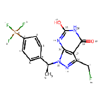 C[C@@H](c1ccc(S(F)(F)F)cc1)n1nc(CF)c2c(=O)[nH]c(O)nc21